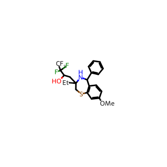 CCC1(CC(O)C(F)(F)C(F)(F)F)CSc2cc(OC)ccc2C(c2ccccc2)N1